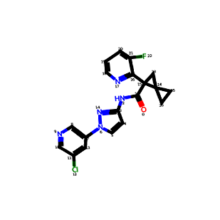 O=C(Nc1ccn(-c2cncc(Cl)c2)n1)C1(c2ncccc2F)CC12CC2